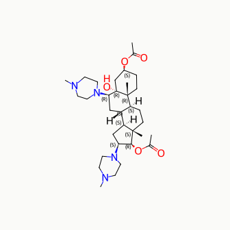 CC(=O)O[C@H]1CC[C@]2(C)[C@H]3CC[C@@]4(C)[C@@H](C[C@H](N5CCN(C)CC5)[C@@H]4OC(C)=O)[C@@H]3C[C@@H](N3CCN(C)CC3)[C@@]2(O)C1